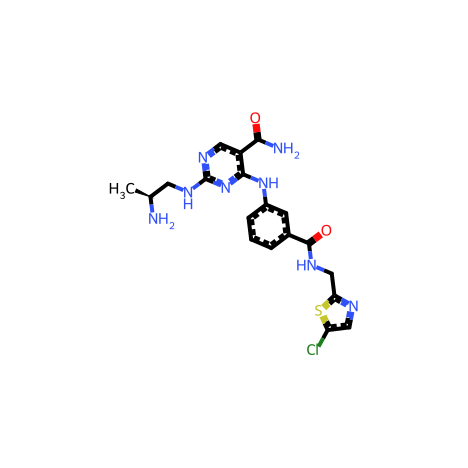 C[C@H](N)CNc1ncc(C(N)=O)c(Nc2cccc(C(=O)NCc3ncc(Cl)s3)c2)n1